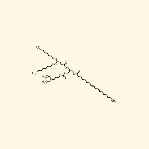 CCCCCC/C=C/C/C=C/CCCCCCC(=O)OCC(COC(=O)CCC(OCCCCCCCC)OCCCCCCCC)COC(=O)OCCCN(CC)CC